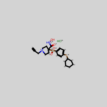 C#CCN1CCC(C(=O)NO)(S(=O)(=O)c2ccc(SC3CCCCC3)cc2)CC1.Cl